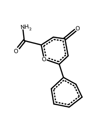 NC(=O)c1cc(=O)cc(-c2ccccc2)o1